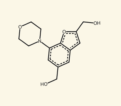 OCc1cc(N2CCOCC2)c2oc(CO)cc2c1